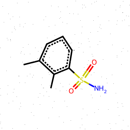 Cc1cc[c]c(S(N)(=O)=O)c1C